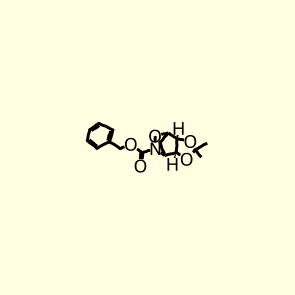 CC1(C)O[C@@H]2C3CC([C@@H]2O1)N(C(=O)OCc1ccccc1)O3